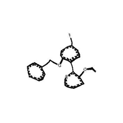 COc1[c]ccnc1-c1ccc(F)cc1OCc1ccccc1